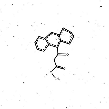 COC(=O)CC(=O)c1c2ccccc2cc2ccccc12